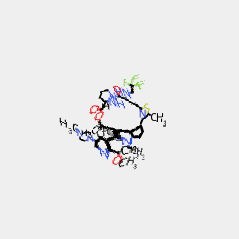 CCn1c(-c2cc(N3CCN(C)CC3)cnc2[C@H](C)OC)c2c3cc(ccc31)C1N=C(C[C@H](NCC(F)(F)F)C(=O)N3CCC[C@H](N3)C(=O)OCC(C)(C)C2)SC1C